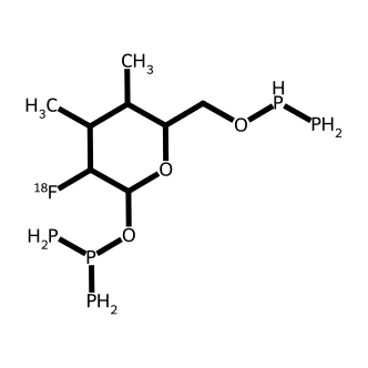 CC1C(COPP)OC(OP(P)P)C([18F])C1C